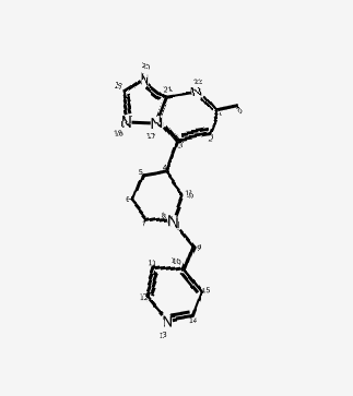 Cc1cc(C2CCCN(Cc3ccncc3)C2)n2ncnc2n1